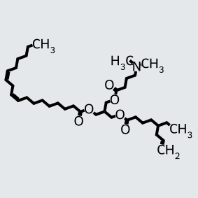 C=CCC(CC)CCCC(=O)OCC(COC(=O)CCCCCCC/C=C\C/C=C\CCCCC)COC(=O)CCCN(C)C